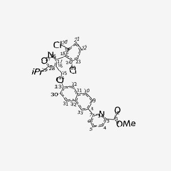 COC(=O)c1cccc(-c2ccc3cc(OCc4c(-c5c(Cl)cccc5Cl)noc4C(C)C)ccc3c2)n1